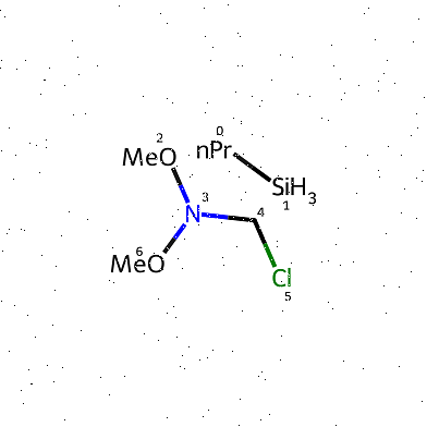 CCC[SiH3].CON(CCl)OC